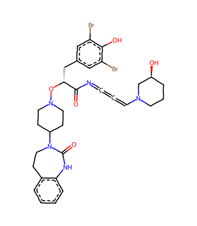 O=C(N=C=C=CN1CCC[C@H](O)C1)[C@@H](Cc1cc(Br)c(O)c(Br)c1)ON1CCC(N2CCc3ccccc3NC2=O)CC1